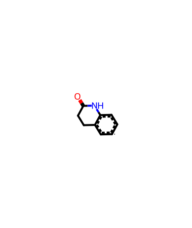 O=C1CCc2c[c]ccc2N1